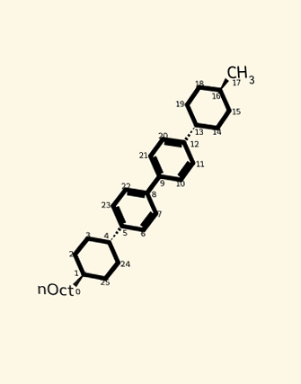 CCCCCCCC[C@H]1CC[C@H](c2ccc(-c3ccc([C@H]4CC[C@H](C)CC4)cc3)cc2)CC1